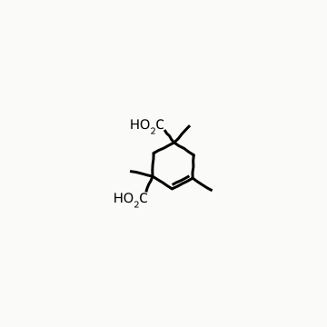 CC1=CC(C)(C(=O)O)CC(C)(C(=O)O)C1